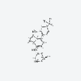 Oc1cc(C(F)(F)F)ccc1-c1nnc(N[C@H]2CNC[C@H](F)C2)c2nccn12